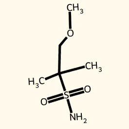 COCC(C)(C)S(N)(=O)=O